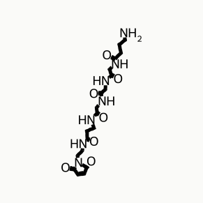 NCCCC(=O)NCC(=O)NCC(=O)NCC(=O)NCCC(=O)NCCN1C(=O)C=CC1=O